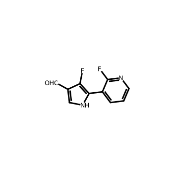 O=Cc1c[nH]c(-c2cccnc2F)c1F